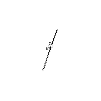 CCCCCCCCCCCCCCCCCC(=O)OC(=O)CCCCCCCCCCC.[KH]